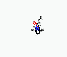 CCCCC(=O)N1C[C@H]2CC[C@@H](C1)N2CC